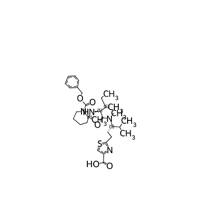 CC[C@H](C)[C@H](N[C@@]1(C)CCCCN1C(=O)OCc1ccccc1)C(=O)N(C)[C@@H](CCc1nc(C(=O)O)cs1)C(C)C